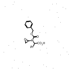 CC(C)C(C(=O)O)N(C(=O)OCc1ccccc1)C1CO1